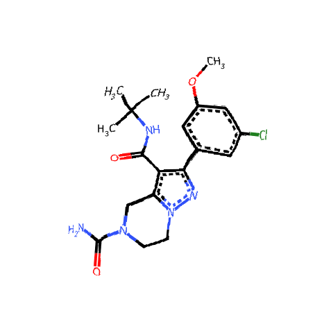 COc1cc(Cl)cc(-c2nn3c(c2C(=O)NC(C)(C)C)CN(C(N)=O)CC3)c1